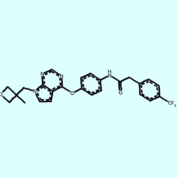 CC1(Cn2ccc3c(Oc4ccc(NC(=O)Cc5ccc(C(F)(F)F)cc5)cc4)ncnc32)COC1